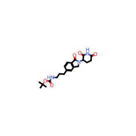 CC(C)(C)OC(=O)NCCCc1ccc2c(c1)CN(C1CCC(=O)NC1=O)C2=O